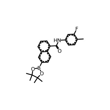 Cc1ccc(NC(=O)c2cccc3cc(B4OC(C)(C)C(C)(C)O4)ccc23)cc1F